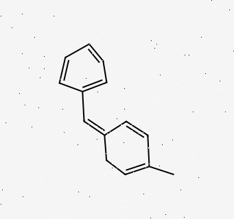 CC1=CCC(=Cc2ccccc2)C=C1